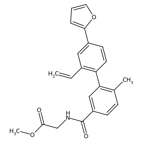 C=Cc1cc(-c2ccco2)ccc1-c1cc(C(=O)NCC(=O)OC)ccc1C